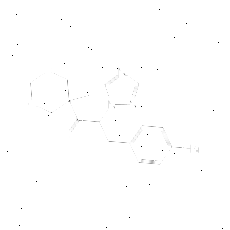 CC1(C(=O)C(Cc2ccc(Br)cc2)n2cncn2)COCOC1